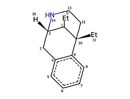 CCC1[C@@H]2Cc3ccccc3[C@@]1(CC)CCN2